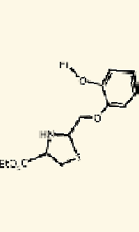 CCOC(=O)C1CSC(COc2ccccc2OCC)N1